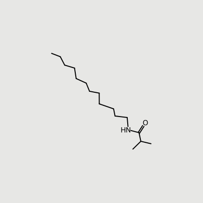 CCCCCCCCCCCCNC(=O)C(C)C